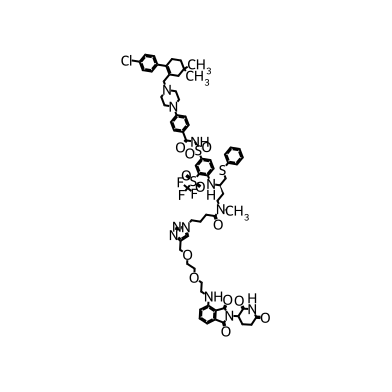 CN(CC[C@H](CSc1ccccc1)Nc1ccc(S(=O)(=O)NC(=O)c2ccc(N3CCN(CC4=C(c5ccc(Cl)cc5)CCC(C)(C)C4)CC3)cc2)cc1S(=O)(=O)C(F)(F)F)C(=O)CCCn1cc(COCCOCCNc2cccc3c2C(=O)N(C2CCC(=O)NC2=O)C3=O)nn1